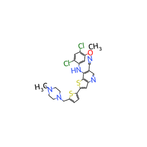 COc1cc(Nc2c(C#N)cnc3cc(-c4ccc(CN5CCN(C)CC5)s4)sc23)c(Cl)cc1Cl